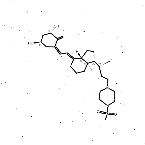 C=C1/C(=C\C=C2/CCC[C@]3(C)[C@@H]([C@H](C)CCN4CCN(S(C)(=O)=O)CC4)CC[C@@H]23)C[C@@H](O)C[C@@H]1O